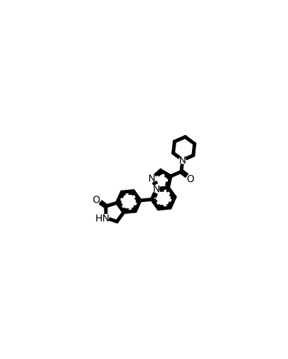 O=C1NCc2cc(-c3cccc4c(C(=O)N5CCCCC5)cnn34)ccc21